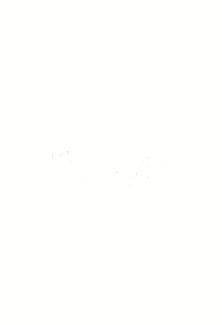 C=C(C)C(=O)OC(O)(CC)OC(=O)c1cccc(C(=O)O)c1